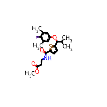 COC(=O)CCNC(=O)c1ccc(C(Oc2cc(C)c(I)c(C)c2)C(C)C)s1